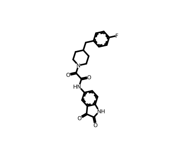 O=C1Nc2ccc(NC(=O)C(=O)N3CCC(Cc4ccc(F)cc4)CC3)cc2C1=O